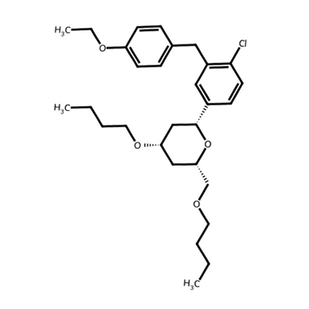 CCCCOC[C@@H]1C[C@H](OCCCC)C[C@H](c2ccc(Cl)c(Cc3ccc(OCC)cc3)c2)O1